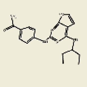 CCC(CC)Nc1nc(Nc2ccc(C(N)=O)cc2)nc2[nH]ccc12